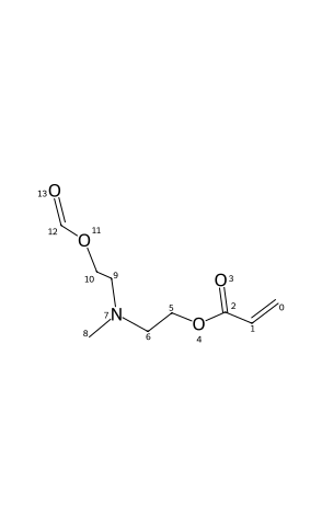 C=CC(=O)OCCN(C)CCOC=O